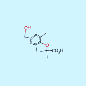 Cc1cc(CO)cc(C)c1OC(C)(C)C(=O)O